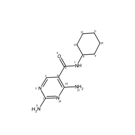 Nc1ncc(C(=O)NC2CCCCC2)c(N)n1